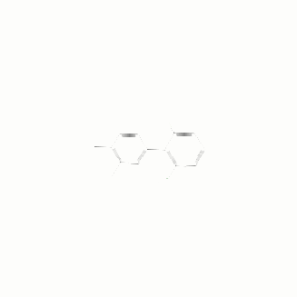 Cc1ccc(-c2c(Cl)[c]ccc2F)cc1C